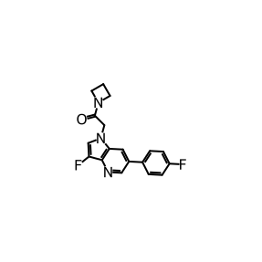 O=C(Cn1cc(F)c2ncc(-c3ccc(F)cc3)cc21)N1CCC1